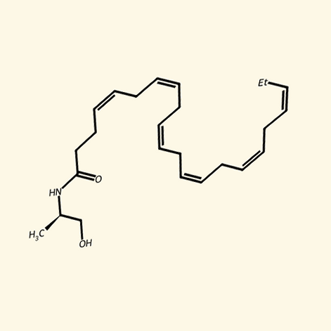 CC/C=C\C/C=C\C/C=C\C/C=C\C/C=C\C/C=C\CCC(=O)N[C@H](C)CO